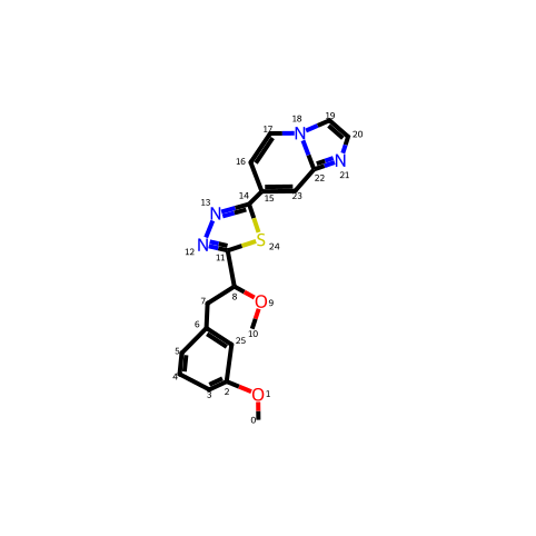 COc1cccc(CC(OC)c2nnc(-c3ccn4ccnc4c3)s2)c1